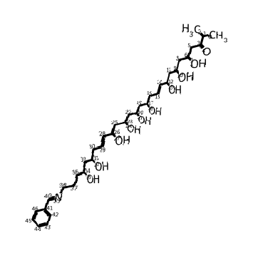 CC(C)C(=O)CC(O)CC(O)CC(O)/C=C/CC(O)CC(O)CC(O)CC(O)/C=C/CC(O)CC(O)CCC/N=C/c1ccccc1